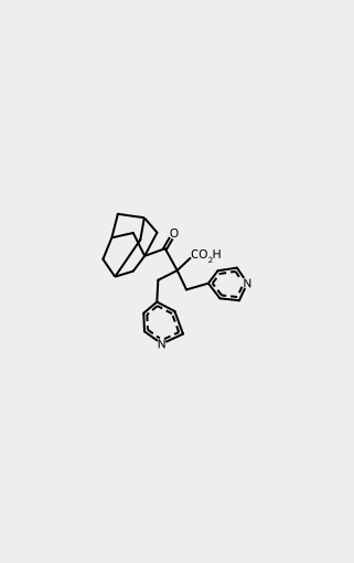 O=C(O)C(Cc1ccncc1)(Cc1ccncc1)C(=O)C12CC3CC(CC(C3)C1)C2